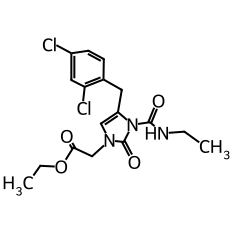 CCNC(=O)n1c(Cc2ccc(Cl)cc2Cl)cn(CC(=O)OCC)c1=O